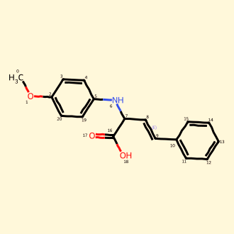 COc1ccc(NC(/C=C/c2ccccc2)C(=O)O)cc1